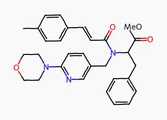 COC(=O)C(Cc1ccccc1)N(Cc1ccc(N2CCOCC2)nc1)C(=O)C=Cc1ccc(C)cc1